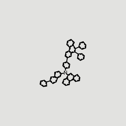 c1ccc(-c2ccc3cc(N(c4ccc(-c5ccc6c(c5)c(-c5ccccc5)c(-c5ccccc5)c5ccccc56)cc4)c4cc5ccccc5c5ccccc45)ccc3c2)cc1